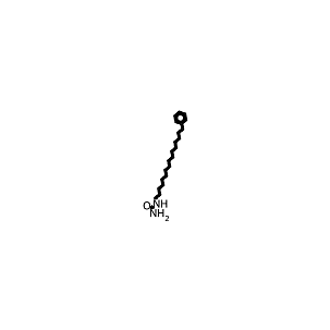 NC(=O)NCCCCCCCCCCCCCCCCc1ccccc1